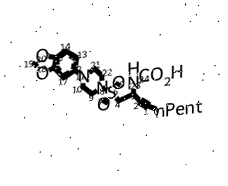 CCCCCC#CC(CS(=O)(=O)N1CCN(c2ccc3c(c2)OCO3)CC1)NC(=O)O